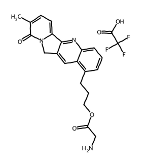 Cc1ccc2n(c1=O)Cc1cc3c(CCCOC(=O)CN)cccc3nc1-2.O=C(O)C(F)(F)F